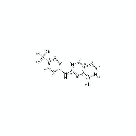 CS(=O)(=O)c1ccc(Nc2cc3c(I)nccc3cn2)cc1